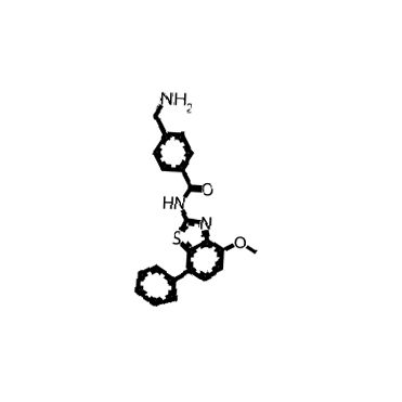 COc1ccc(-c2ccccc2)c2sc(NC(=O)c3ccc(CN)cc3)nc12